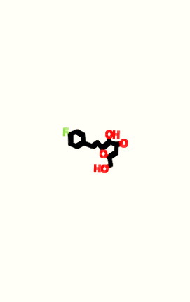 O=c1cc(CO)oc(/C=C/c2ccc(F)cc2)c1O